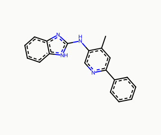 Cc1cc(-c2ccccc2)ncc1Nc1nc2ccccc2[nH]1